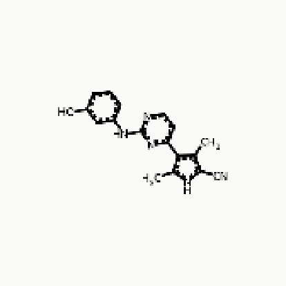 Cc1[nH]c(C#N)c(C)c1-c1ccnc(Nc2cccc(O)c2)n1